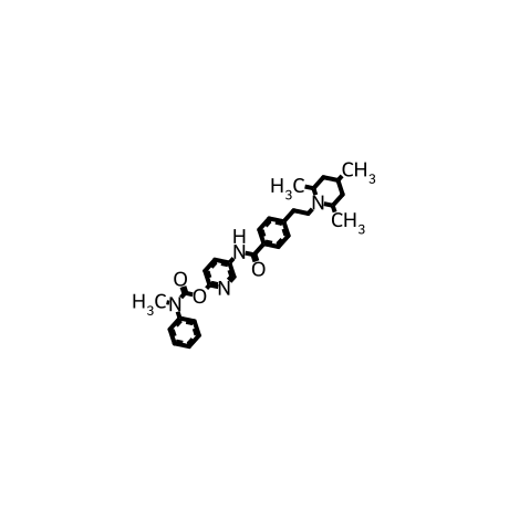 CC1CC(C)N(CCc2ccc(C(=O)Nc3ccc(OC(=O)N(C)c4ccccc4)nc3)cc2)C(C)C1